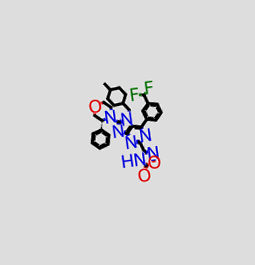 CC1CCC(Cn2c(N3CCOC[C@H]3c3ccccc3)nc3nc(-c4noc(=O)[nH]4)nc(-c4cccc(C(F)F)c4)c32)CC1